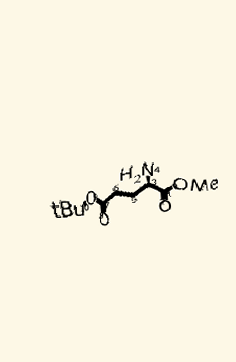 COC(=O)[C@H](N)CCC(=O)OC(C)(C)C